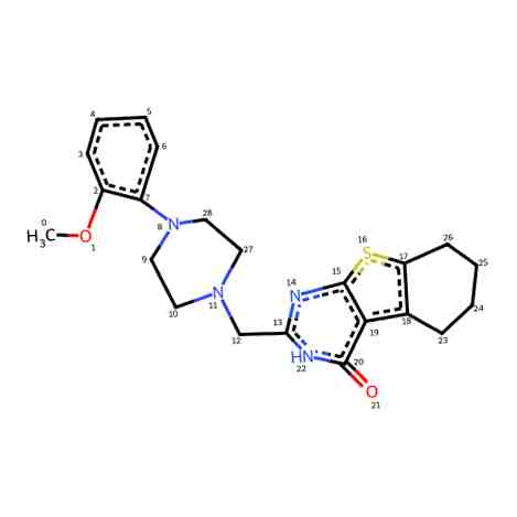 COc1ccccc1N1CCN(Cc2nc3sc4c(c3c(=O)[nH]2)CCCC4)CC1